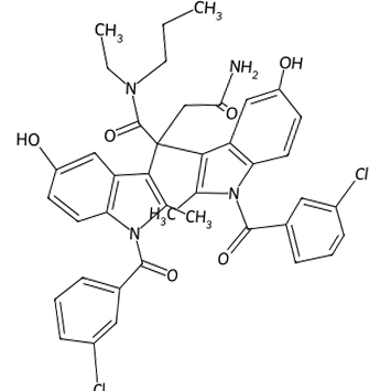 CCCN(CC)C(=O)C(CC(N)=O)(c1c(C)n(C(=O)c2cccc(Cl)c2)c2ccc(O)cc12)c1c(C)n(C(=O)c2cccc(Cl)c2)c2ccc(O)cc12